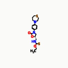 CCOC(=S)NC[C@H]1CN(c2ccc(N3CCCSCC3)cc2)C(=O)O1